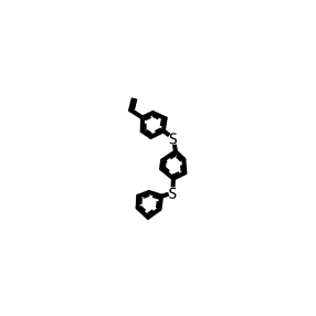 C=Cc1ccc(Sc2ccc(Sc3ccccc3)cc2)cc1